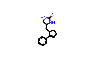 S=C1NCC(CC2CCC=C2c2ccccc2)N1